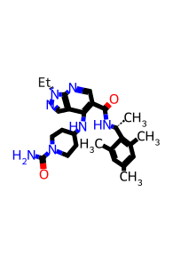 CCn1ncc2c(NC3CCN(C(N)=O)CC3)c(C(=O)N[C@H](C)c3c(C)cc(C)cc3C)cnc21